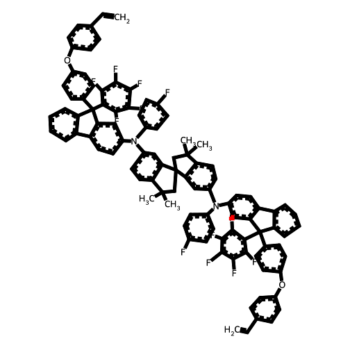 C=Cc1ccc(Oc2ccc(C3(c4c(F)c(F)c(F)c(F)c4F)c4ccccc4-c4ccc(N(c5ccc(F)cc5)c5ccc6c(c5)C5(CC6(C)C)CC(C)(C)c6ccc(N(c7ccc(F)cc7)c7ccc8c(c7)C(c7ccc(Oc9ccc(C=C)cc9)cc7)(c7c(F)c(F)c(F)c(F)c7F)c7ccccc7-8)cc65)cc43)cc2)cc1